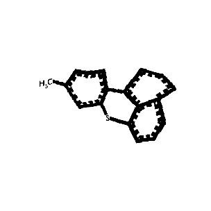 Cc1ccc2c(c1)Sc1cccc3cccc-2c13